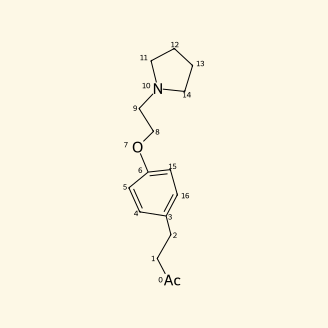 CC(=O)CCc1ccc(OCCN2CCCC2)cc1